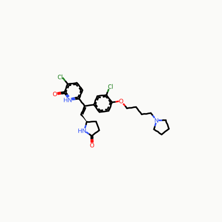 O=C1CC[C@H](/C=C(\c2ccc(OCCCCN3CCCC3)c(Cl)c2)c2ccc(Cl)c(=O)[nH]2)N1